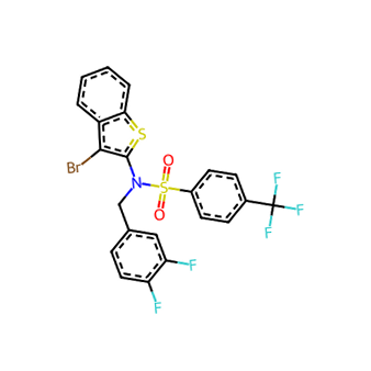 O=S(=O)(c1ccc(C(F)(F)F)cc1)N(Cc1ccc(F)c(F)c1)c1sc2ccccc2c1Br